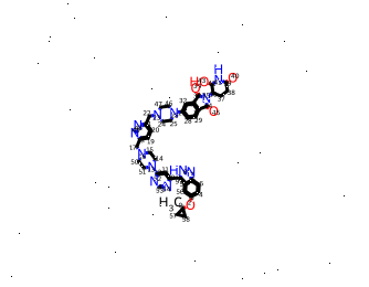 CC1(Oc2ccc3n[nH]c(-c4cc(N5CCN(Cc6ccc(CN7CCN(c8ccc9c(c8)C(=O)N(C8CCC(=O)NC8O)C9=O)CC7)nn6)CC5)ncn4)c3c2)CC1